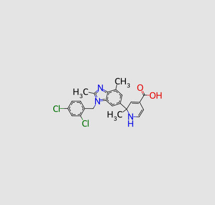 Cc1cc(C2(C)C=C(C(=O)O)C=CN2)cc2c1nc(C)n2Cc1ccc(Cl)cc1Cl